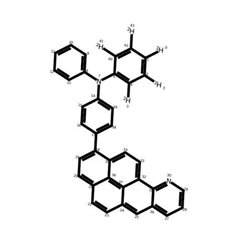 [2H]c1c([2H])c([2H])c(N(c2ccccc2)c2ccc(-c3ccc4ccc5cc6cccnc6c6ccc3c4c56)cc2)c([2H])c1[2H]